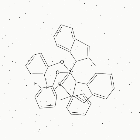 CC1=Cc2ccccc2[CH]1[Zr]([O]c1ccccc1F)([O]c1ccccc1F)([CH]1C(C)=Cc2ccccc21)=[Si](C)c1ccccc1